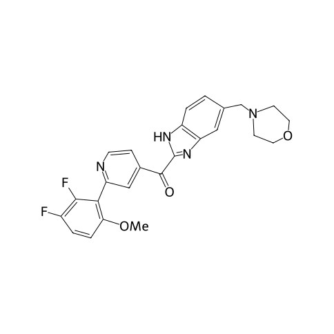 COc1ccc(F)c(F)c1-c1cc(C(=O)c2nc3cc(CN4CCOCC4)ccc3[nH]2)ccn1